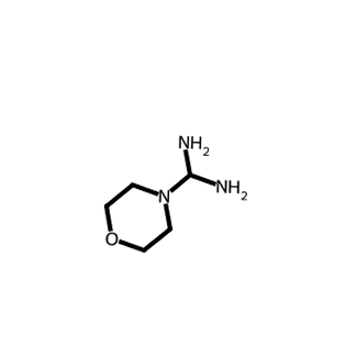 NC(N)N1CCOCC1